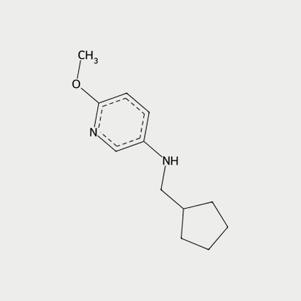 COc1ccc(NCC2CCCC2)cn1